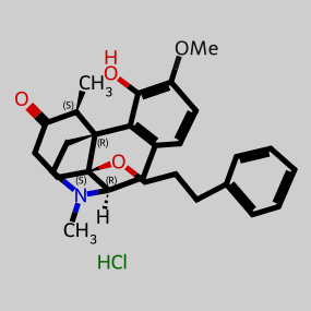 COc1ccc2c(c1O)[C@]13CCN(C)[C@H](C2)[C@]1(OCCCc1ccccc1)CCC(=O)[C@H]3C.Cl